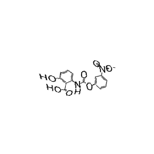 O=C(Nc1cccc(O)c1C(=O)O)Oc1cccc([N+](=O)[O-])c1